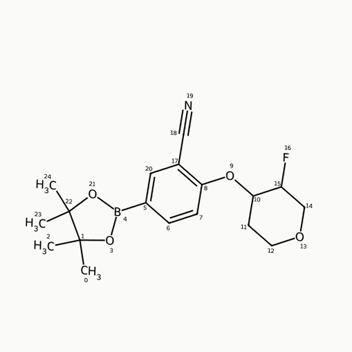 CC1(C)OB(c2ccc(OC3CCOCC3F)c(C#N)c2)OC1(C)C